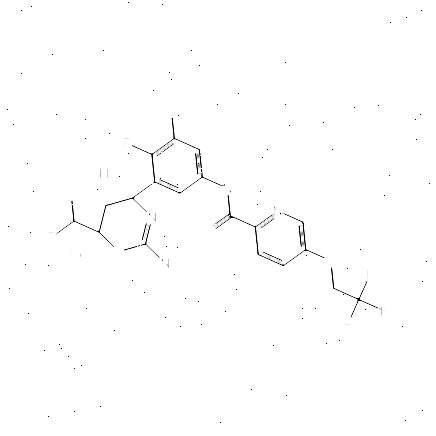 C[C@]1(C(F)F)C[C@@](C)(c2cc(NC(=O)c3ccc(OCC(F)(F)F)cn3)cc(F)c2F)N=C(N)S1